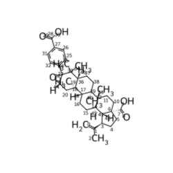 C=C(C)[C@@H]1CC[C@]2(C(=O)O)CC[C@]3(C)[C@H](CC[C@@H]4[C@@]5(C)C[C@@H]6O[C@]6(c6ccc(C(=O)O)cc6)C(C)(C)[C@@H]5CC[C@]43C)[C@@H]12